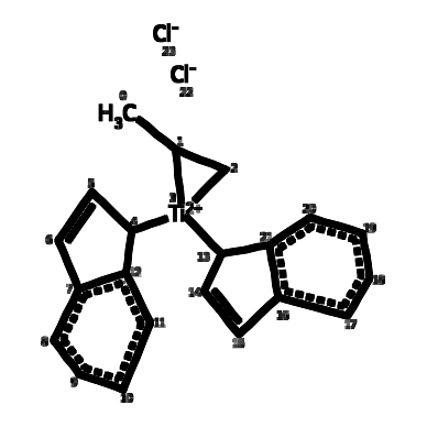 C[CH]1[CH2][Ti+2]1([CH]1C=Cc2ccccc21)[CH]1C=Cc2ccccc21.[Cl-].[Cl-]